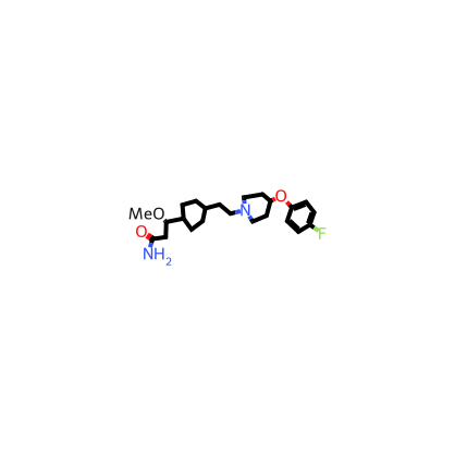 COC(CC(N)=O)C1CCC(CCN2CCC(Oc3ccc(F)cc3)CC2)CC1